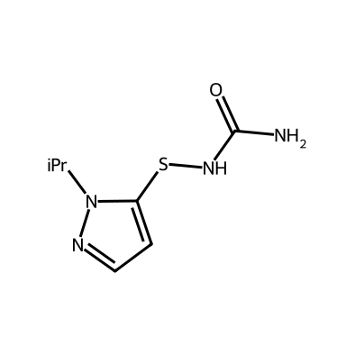 CC(C)n1nccc1SNC(N)=O